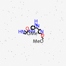 COCCOc1ccc(-c2n[nH]c3ccc(NC(=O)[C@]4(OC)CCNC4)cc23)cn1